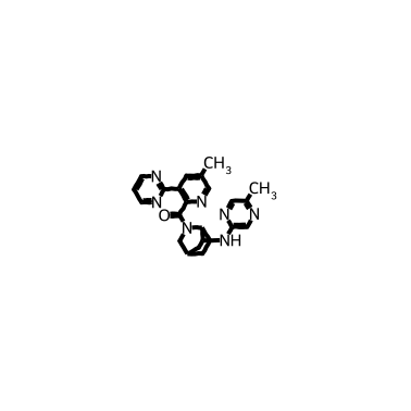 Cc1cnc(C(=O)N2CC3CCC2C(Nc2cnc(C)cn2)C3)c(-c2ncccn2)c1